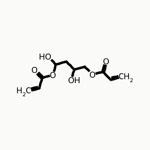 C=CC(=O)OCC(O)CC(O)OC(=O)C=C